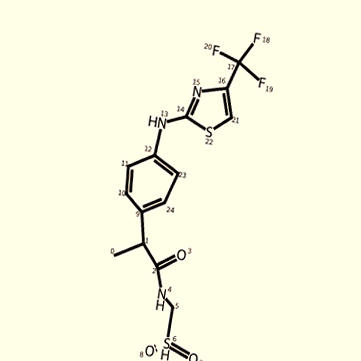 CC(C(=O)NC[SH](=O)=O)c1ccc(Nc2nc(C(F)(F)F)cs2)cc1